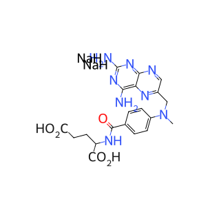 CN(Cc1cnc2nc(N)nc(N)c2n1)c1ccc(C(=O)NC(CCC(=O)O)C(=O)O)cc1.[NaH].[NaH]